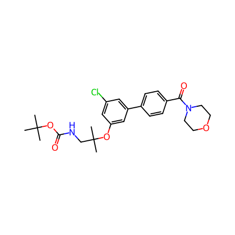 CC(C)(C)OC(=O)NCC(C)(C)Oc1cc(Cl)cc(-c2ccc(C(=O)N3CCOCC3)cc2)c1